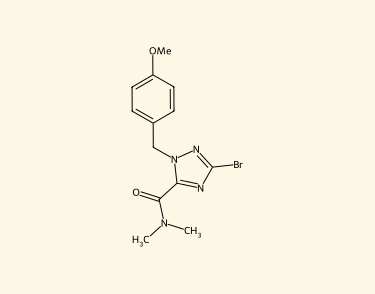 COc1ccc(Cn2nc(Br)nc2C(=O)N(C)C)cc1